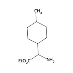 CCOC(=O)C(N)C1CCC(C)CC1